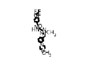 Cc1nc(C2NN=C(c3ccc(OC(F)(F)F)cc3)O2)nn1Cc1cccc(N2CCN(C)CC2)c1